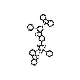 c1ccc(-c2nc(-c3ccc4c(c3)oc3c(-c5ccccc5)cc(-n5c6ccccc6c6ccccc65)cc34)nc(-c3cccc4c3oc3ccccc34)n2)cc1